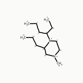 CCCC(CC)N1CCN(C)CC1CCC